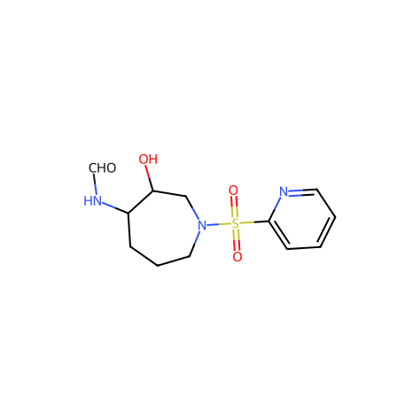 O=CNC1CCCN(S(=O)(=O)c2ccccn2)CC1O